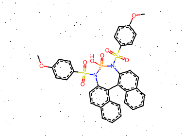 COc1ccc(S(=O)(=O)N2c3ccc4ccccc4c3-c3c(ccc4ccccc34)N(S(=O)(=O)c3ccc(OC)cc3)P2(=O)O)cc1